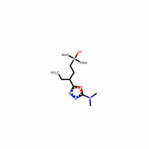 CO[Si](O)(CCC(CC(=O)O)c1nnc(N(C)C)o1)OC